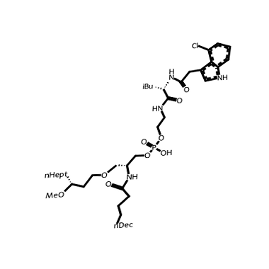 CCCCCCCCCCCCCC(=O)N[C@H](COCC[C@@H](CCCCCCC)OC)COP(=O)(O)OCCNC(=O)[C@@H](NC(=O)Cc1c[nH]c2cccc(Cl)c12)[C@@H](C)CC